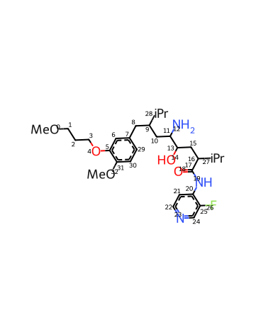 COCCCOc1cc(CC(CC(N)C(O)CC(C(=O)Nc2ccncc2F)C(C)C)C(C)C)ccc1OC